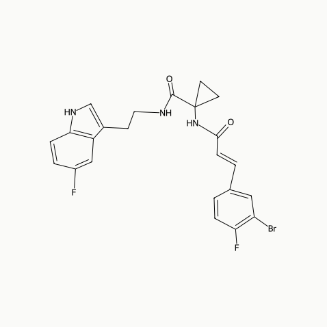 O=C(C=Cc1ccc(F)c(Br)c1)NC1(C(=O)NCCc2c[nH]c3ccc(F)cc23)CC1